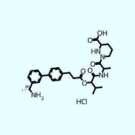 CC(NC(=O)C(OC(=O)CCc1ccc(-c2cccc([C@@H](C)N)c2)cc1)C(C)C)C(=O)N1CCCC(C(=O)O)N1.Cl